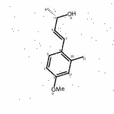 COc1ccc(C=C[C@H](C)O)c(C)c1